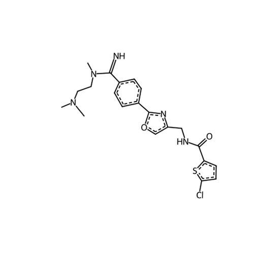 CN(C)CCN(C)C(=N)c1ccc(-c2nc(CNC(=O)c3ccc(Cl)s3)co2)cc1